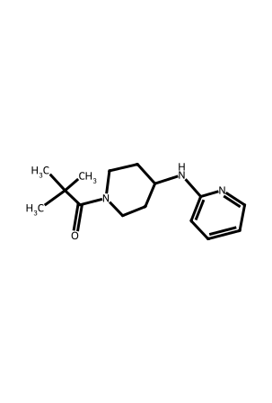 CC(C)(C)C(=O)N1CCC(Nc2ccccn2)CC1